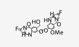 COc1cc2c(cc1OCOc1cc3c(cc1CO)C(=O)N1C[C@@H](F)C[C@H]1C=N3)NC[C@@H]1C[C@H](F)CN1C2=O